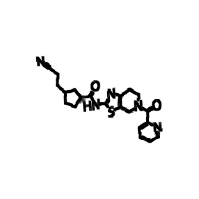 N#CCCC1CC[C@H](C(=O)Nc2nc3c(s2)CN(C(=O)c2ccccn2)CC3)C1